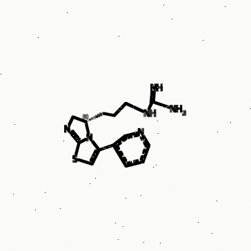 N=C(N)NCCC[C@H]1CN=C2SC=C(c3cccnc3)N21